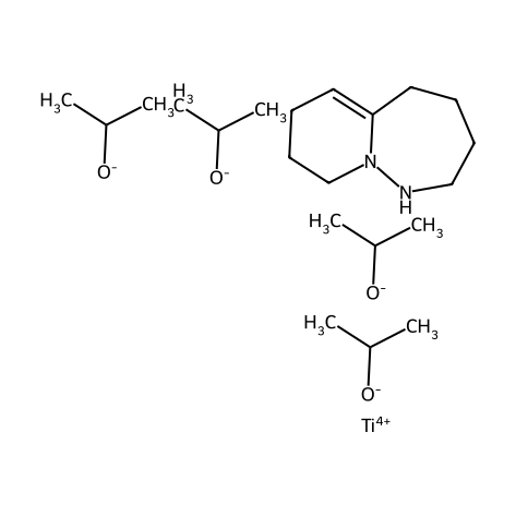 C1=C2CCCCNN2CCC1.CC(C)[O-].CC(C)[O-].CC(C)[O-].CC(C)[O-].[Ti+4]